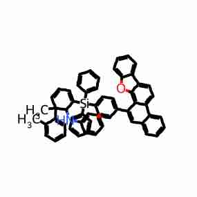 Cc1ccccc1C1(C)C=CC=C([Si](c2ccccc2)(c2ccccc2)c2ccc(-c3cc4ccccc4c4ccc5c6ccccc6oc5c34)cc2)C1Nc1ccccc1